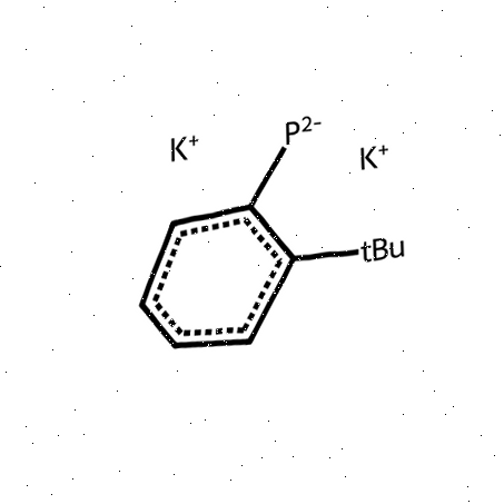 CC(C)(C)c1ccccc1[P-2].[K+].[K+]